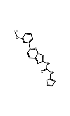 COc1cccc(-c2ccc3nc(NC(=O)Nc4nccs4)cn3n2)c1